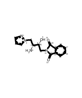 N[C@H](Cn1cccn1)[C@H](O)CN1C(=O)c2ccccc2C1=O